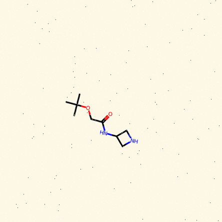 CC(C)(C)OCC(=O)NC1CNC1